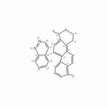 Cc1cccc2c1ccc1c3c(ccc12)C(C)CCC3.c1ccc2nnccc2c1